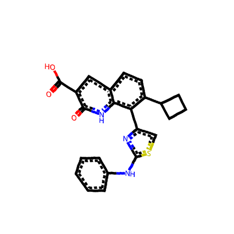 O=C(O)c1cc2ccc(C3CCC3)c(-c3csc(Nc4ccccc4)n3)c2[nH]c1=O